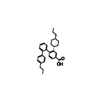 CCCc1ccc(-c2ccccc2-c2ccc(C(=O)O)cc2[C@H]2CC[C@H](CCC)CC2)cc1